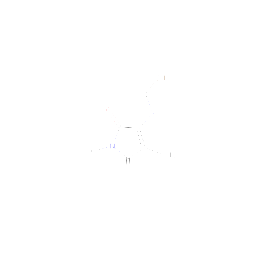 CC1=C(NCS)C(=O)N(C)C1=O